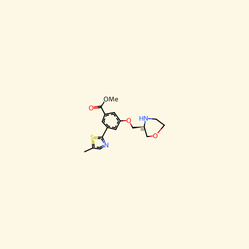 COC(=O)c1cc(OC[C@@H]2COCCN2)cc(-c2ncc(C)s2)c1